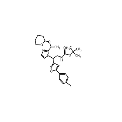 CC(OC1CCCCO1)c1nccn1C(CNC(=O)OC(C)(C)C)c1cc(-c2ccc(I)cc2)on1